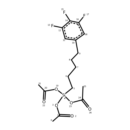 CC(=O)O[Si](CCCCCc1cc(F)c(F)c(F)c1)(OC(C)=O)OC(C)=O